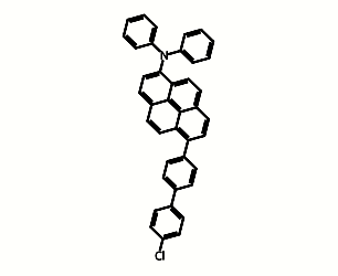 Clc1ccc(-c2ccc(-c3ccc4ccc5c(N(c6ccccc6)c6ccccc6)ccc6ccc3c4c65)cc2)cc1